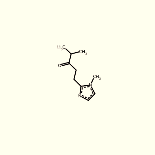 CC(C)C(=O)CCc1nccn1C